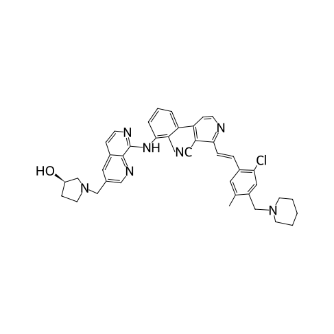 Cc1cc(/C=C/c2nccc(-c3cccc(Nc4nccc5cc(CN6CC[C@@H](O)C6)cnc45)c3C)c2C#N)c(Cl)cc1CN1CCCCC1